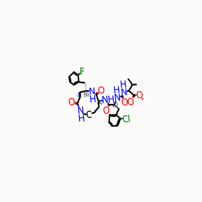 COC(=O)C(NC(=O)N[C@@H](Cc1ccccc1Cl)C(=O)N[C@H]1CCCCNC(=O)/C=C/[C@H](Cc2ccccc2F)NC1=O)C(C)C